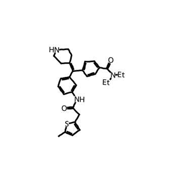 CCN(CC)C(=O)c1ccc(C(=C2CCNCC2)c2cccc(NC(=O)Cc3ccc(C)s3)c2)cc1